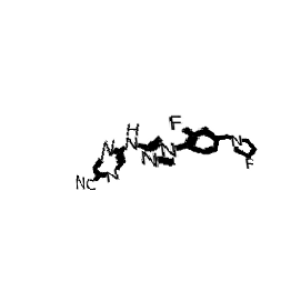 N#Cc1cnc(Nc2cn(-c3ccc(CN4CCC(F)C4)cc3F)cn2)cn1